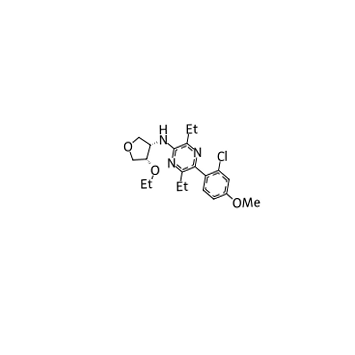 CCO[C@@H]1COC[C@@H]1Nc1nc(CC)c(-c2ccc(OC)cc2Cl)nc1CC